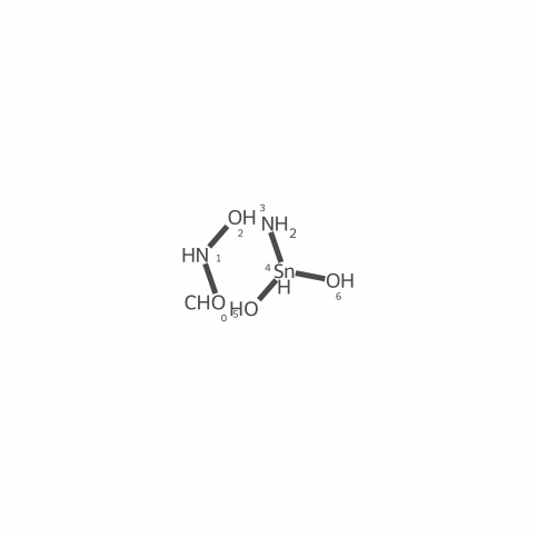 O=CNO.[NH2][SnH]([OH])[OH]